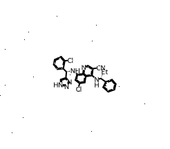 CC[C@@H](Nc1c(C#N)cnc2c(N[C@H](c3c[nH]nn3)c3ccccc3Cl)cc(Cl)cc12)c1ccccc1